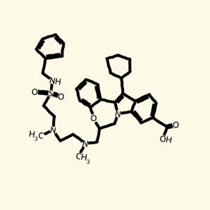 CN(CCN(C)CC1Cn2c(c(C3CCCCC3)c3ccc(C(=O)O)cc32)-c2ccccc2O1)CCS(=O)(=O)NCc1ccccc1